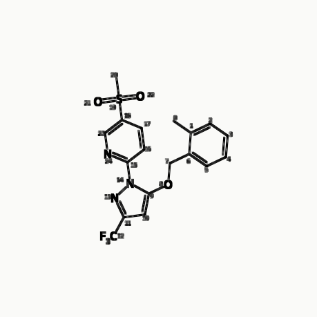 Cc1ccccc1COc1cc(C(F)(F)F)nn1-c1ccc(S(C)(=O)=O)cn1